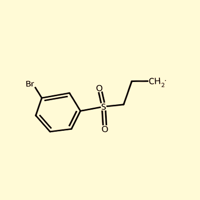 [CH2]CCS(=O)(=O)c1cccc(Br)c1